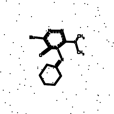 CCC(C)c1nnc(N(C)C)n(N=C2CCCCC2)c1=O